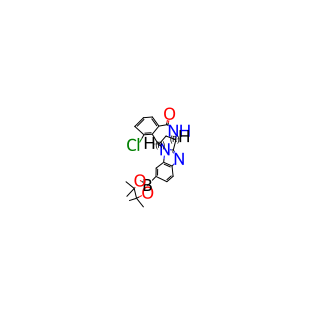 CC1(C)OB(c2ccc3nc4n(c3c2)[C@@H]2C[C@H]4NC(=O)c3cccc(Cl)c32)OC1(C)C